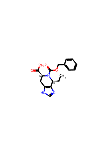 CC[C@H]1c2nc[nH]c2C[C@@H](C(=O)O)N1C(=O)OCc1ccccc1